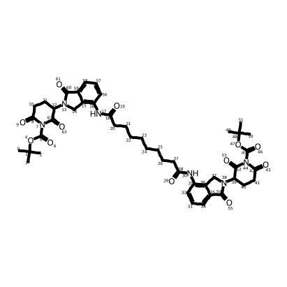 CC(C)(C)OC(=O)N1C(=O)CCC(N2Cc3c(NC(=O)CCCCCCCCC(=O)Nc4cccc5c4CN(C4CCC(=O)N(C(=O)OC(C)(C)C)C4=O)C5=O)cccc3C2=O)C1=O